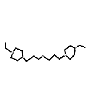 CCN1CCN(CCC[N]CCCN2CCN(CC)CC2)CC1